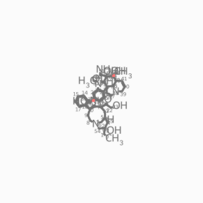 CC[C@]1(O)C[C@H]2CN(CCc3c([nH]c4ccccc34)[C@@](C(=O)CO)(c3cc4c(cc3CO)N(C)[C@@H]3C45CCN4CC=C[C@](CC)([C@H]45)[C@@H](O)[C@]3(O)C(N)=O)C2)C1